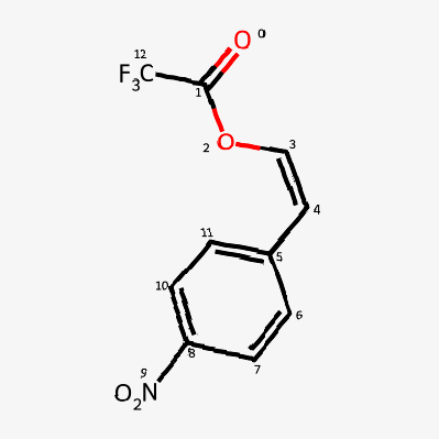 O=C(O/C=C\c1ccc([N+](=O)[O-])cc1)C(F)(F)F